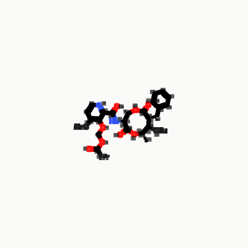 CCCC(=O)OCOc1c(OC)ccnc1C(=O)N[C@H]1COC(=O)[C@H](Cc2ccccc2)[C@@H](OCC(C)C)[C@H](C)OC1=O